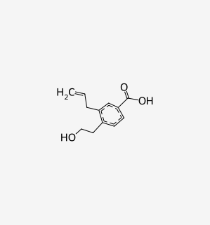 C=CCc1cc(C(=O)O)ccc1CCO